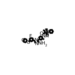 Cc1cc(-c2nc(-c3cc(F)cc(OC4CCOCC4)c3)cnc2N)ccc1NC(=O)c1c(C)n(C)n(-c2ccccc2)c1=O